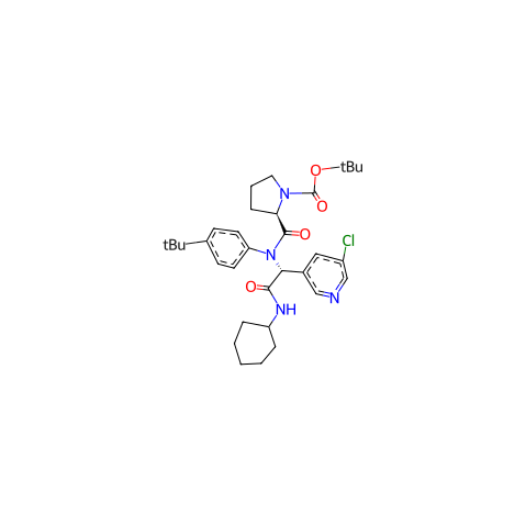 CC(C)(C)OC(=O)N1CCC[C@@H]1C(=O)N(c1ccc(C(C)(C)C)cc1)[C@@H](C(=O)NC1CCCCC1)c1cncc(Cl)c1